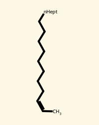 C/C=C\CCCCCCCCCCCCCCC